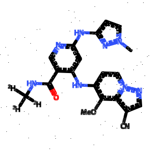 [2H]C([2H])([2H])NC(=O)c1cnc(Nc2ccn(C)n2)cc1Nc1ccn2ncc(C#N)c2c1OC